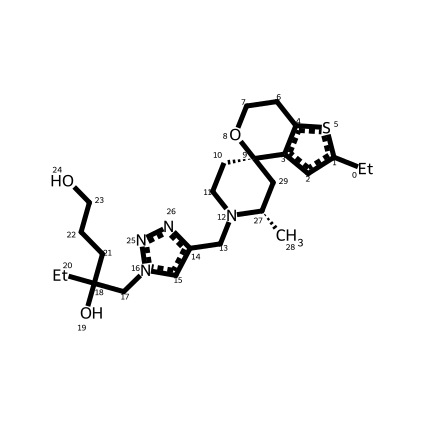 CCc1cc2c(s1)CCO[C@@]21CCN(Cc2cn(CC(O)(CC)CCCO)nn2)[C@@H](C)C1